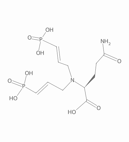 NC(=O)CC[C@@H](C(=O)O)N(CC=CP(=O)(O)O)CC=CP(=O)(O)O